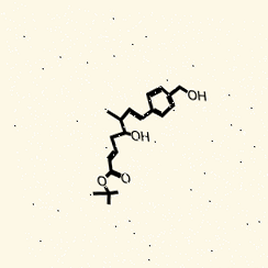 CC(/C=C/c1ccc(CO)cc1)C(O)C/C=C/C(=O)OC(C)(C)C